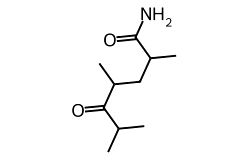 CC(C)C(=O)C(C)CC(C)C(N)=O